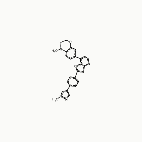 CN1CCOc2cc(-c3ccnc4cc(-c5ccc(-c6cnn(C)c6)cc5)oc34)cnc21